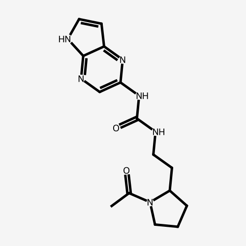 CC(=O)N1CCCC1CCNC(=O)Nc1cnc2[nH]ccc2n1